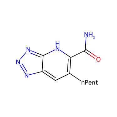 CCCCCc1cc2nnnc-2[nH]c1C(N)=O